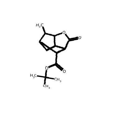 CC1C2CC3C1OC(=O)C3C2C(=O)OC(C)(C)C